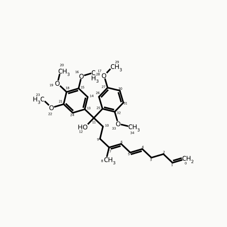 C=CCCC=CC=C(C)CCC(O)(c1cc(OC)c(OC)c(OC)c1)c1cc(OC)ccc1OC